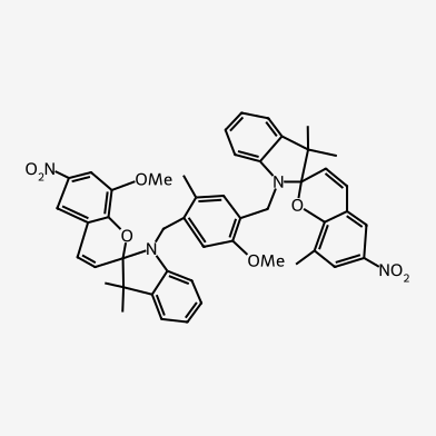 COc1cc(CN2c3ccccc3C(C)(C)C23C=Cc2cc([N+](=O)[O-])cc(OC)c2O3)c(C)cc1CN1c2ccccc2C(C)(C)C12C=Cc1cc([N+](=O)[O-])cc(C)c1O2